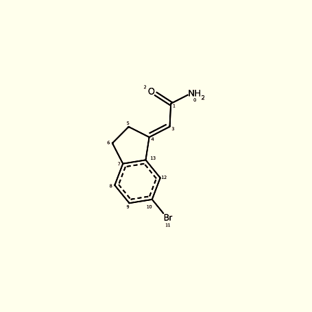 NC(=O)/C=C1\CCc2ccc(Br)cc21